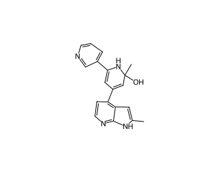 Cc1cc2c(C3=CC(C)(O)NC(c4cccnc4)=C3)ccnc2[nH]1